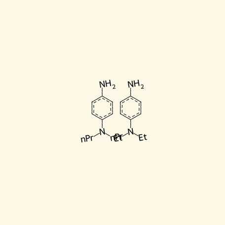 CCCN(CCC)c1ccc(N)cc1.CCN(CC)c1ccc(N)cc1